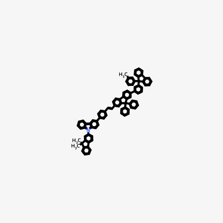 Cc1cccc(C2(c3cccc(-c4ccc5c(c4)C(c4ccccc4)(c4ccccc4)c4cc(/C=C/c6ccc(-c7ccc8c(c7)c7ccccc7n8-c7ccc8c(c7)C(C)(C)c7ccccc7-8)cc6)ccc4-5)c3)c3ccccc3-c3ccccc32)c1